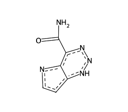 NC(=O)c1nn[nH]c2ccnc1-2